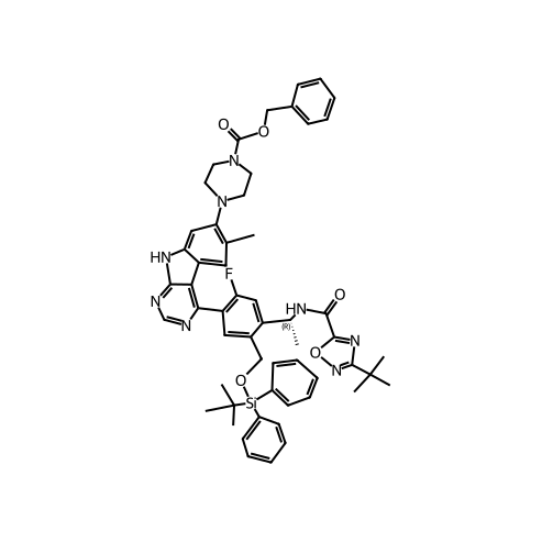 Cc1cc2c(cc1N1CCN(C(=O)OCc3ccccc3)CC1)[nH]c1ncnc(-c3cc(CO[Si](c4ccccc4)(c4ccccc4)C(C)(C)C)c([C@@H](C)NC(=O)c4nc(C(C)(C)C)no4)cc3F)c12